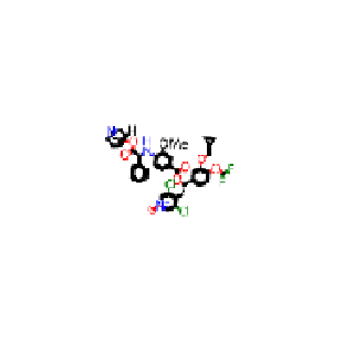 COc1cc(C(=O)O[C@@H](Cc2c(Cl)c[n+]([O-])cc2Cl)c2ccc(OC(F)F)c(OCC3CC3)c2)ccc1NC(C(=O)O[C@H]1CN2CCC1CC2)c1ccccc1